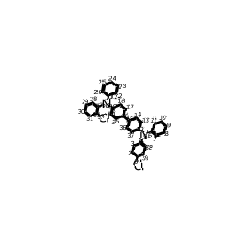 Clc1ccc(N(c2ccccc2)c2ccc(-c3ccc(N(c4ccccc4)c4ccccc4Cl)cc3)cc2)cc1